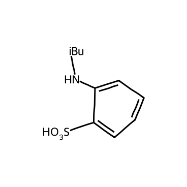 CCC(C)Nc1ccccc1S(=O)(=O)O